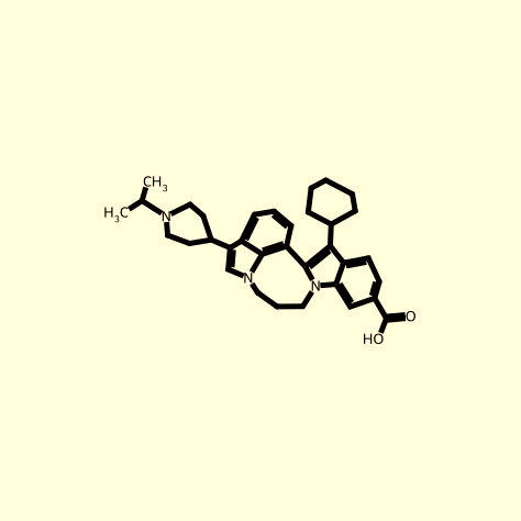 CC(C)N1CCC(c2cn3c4c(cccc24)-c2c(C4CCCCC4)c4ccc(C(=O)O)cc4n2CCC3)CC1